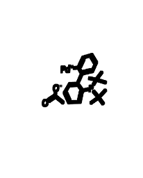 CC(=O)[O-].CC(C)(C)P(c1ccccc1-c1cccc[c]1[Pd+])C(C)(C)C